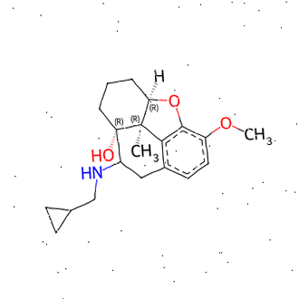 COc1ccc2c3c1O[C@@H]1CCC[C@](O)(C(NCC4CC4)C2)[C@]31C